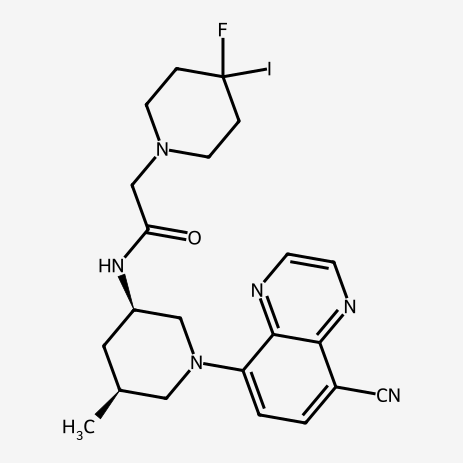 C[C@H]1C[C@@H](NC(=O)CN2CCC(F)(I)CC2)CN(c2ccc(C#N)c3nccnc23)C1